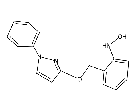 ONc1ccccc1COc1ccn(-c2ccccc2)n1